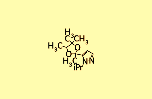 CC(C)n1nccc1C1(C)OC(C)C(C)(C)O1